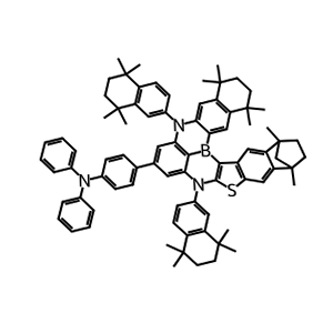 CC1(C)CCC(C)(C)c2cc(N3c4cc5c(cc4B4c6c3cc(-c3ccc(N(c7ccccc7)c7ccccc7)cc3)cc6N(c3ccc6c(c3)C(C)(C)CCC6(C)C)c3sc6cc7c(cc6c34)C3(C)CCC7(C)C3)C(C)(C)CCC5(C)C)ccc21